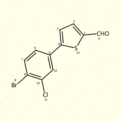 O=Cc1ccc(-c2ccc(Br)c(Cl)c2)s1